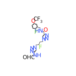 O=CNc1cn(CC(F)CCn2cc(C(=O)NCc3cc(OC(F)(F)F)ccc3F)nn2)nn1